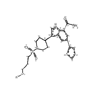 CCOCCCS(=O)(=O)N1CCC(c2c[nH]c3c(C(N)=O)cc(-c4cccs4)cc23)CC1